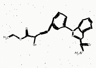 CCOC(=O)C(O)C#Cc1cccc(-n2nc(C(N)=O)c3ccccc32)c1